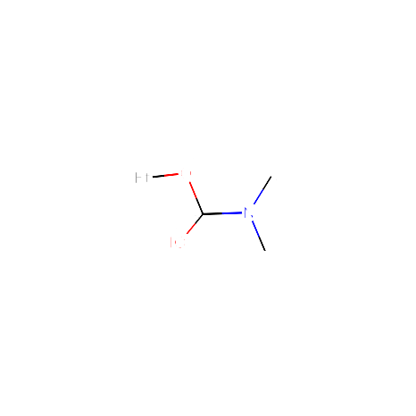 CCOC(O)N(C)C